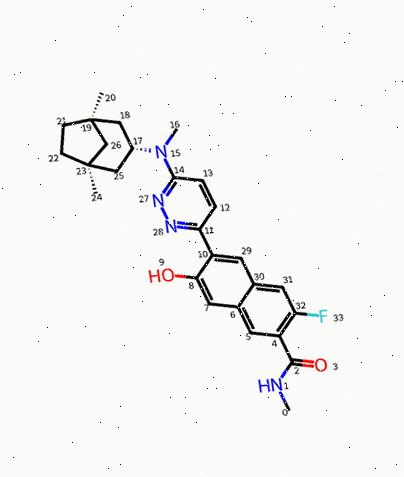 CNC(=O)c1cc2cc(O)c(-c3ccc(N(C)[C@H]4C[C@]5(C)CC[C@](C)(C4)C5)nn3)cc2cc1F